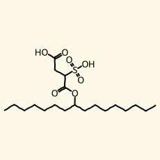 CCCCCCCCC(CCCCCCC)OC(=O)C(CC(=O)O)S(=O)(=O)O